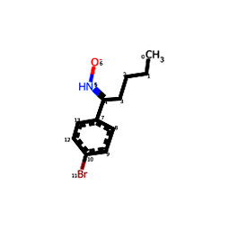 CCCCC(=[NH+][O-])c1ccc(Br)cc1